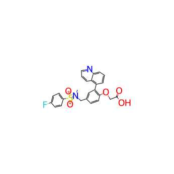 CN(Cc1ccc(OCC(=O)O)c(-c2cccc3ncccc23)c1)S(=O)(=O)c1ccc(F)cc1